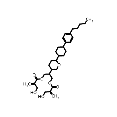 C=C(CO)C(=O)OCC(COC(=O)C(=C)CO)C1CCC(C2CCC(c3ccc(CCCCC)cc3)CC2)OC1